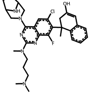 CN(C)CCCN(C)c1nc(N2CC3CCC(C2)N3)c2cc(Cl)c(C3(C)CC(O)=Cc4ccccc43)c(F)c2n1